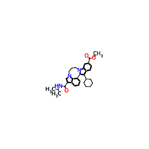 COC(=O)c1ccc2c(C3CCCCC3)c3n(c2c1)CCCn1cc(C(=O)NC(C)C)c2cccc-3c21